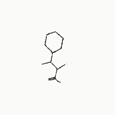 CC(C1CCCCC1)C(N)C(=O)O